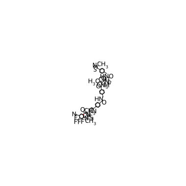 Cc1ncsc1-c1ccc(CNC(=O)C2CCCN2C(=O)C(NC(=O)c2ccc(CNC(=O)c3ccc(-c4ccc(N(C(=S)N(C)c5ccc(C#N)c(C(F)(F)F)c5F)C(C)(C)C=O)cn4)cc3)cc2)C(C)(C)C)cc1